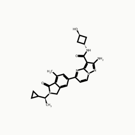 Cc1cc(-c2ccn3nc(N)c(C(=O)N[C@H]4C[C@H](O)C4)c3n2)cc2c1C(=O)N([C@@H](C)C1CC1)C2